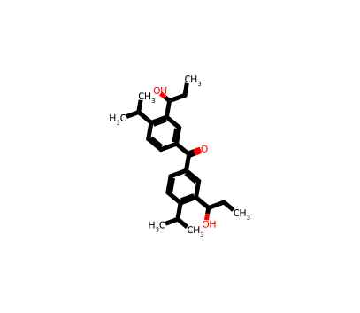 CCC(O)c1cc(C(=O)c2ccc(C(C)C)c(C(O)CC)c2)ccc1C(C)C